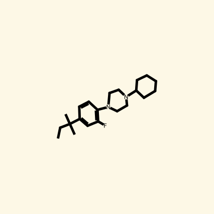 CCC(C)(C)c1ccc(N2CCN(C3CCCCC3)CC2)c(F)c1